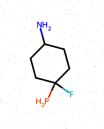 NC1CCC(F)(P)CC1